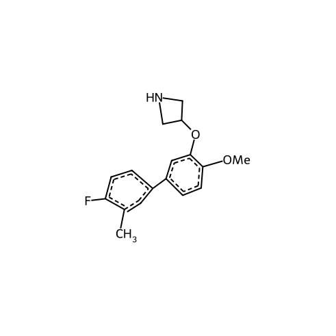 COc1ccc(-c2ccc(F)c(C)c2)cc1OC1CNC1